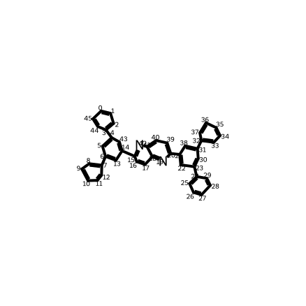 c1ccc(-c2cc(-c3ccccc3)cc(-c3ccc4nc(-c5cc(-c6ccccc6)cc(-c6ccccc6)c5)ccc4n3)c2)cc1